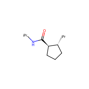 CC(C)NC(=O)[C@@H]1CCC[C@H]1C(C)C